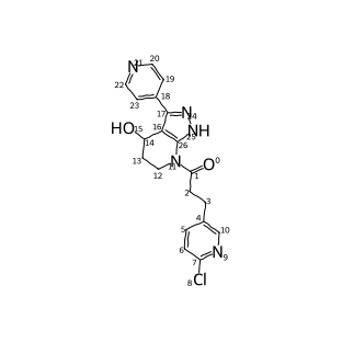 O=C(CCc1ccc(Cl)nc1)N1CCC(O)c2c(-c3ccncc3)n[nH]c21